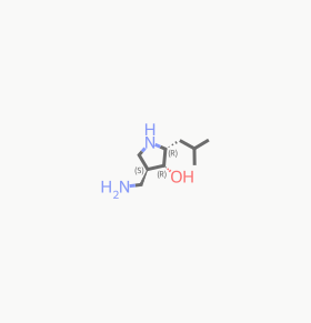 CC(C)C[C@H]1NC[C@H](CN)[C@H]1O